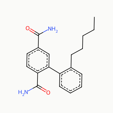 CCCCCc1ccccc1-c1cc(C(N)=O)ccc1C(N)=O